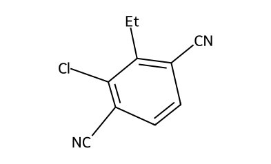 CCc1c(C#N)ccc(C#N)c1Cl